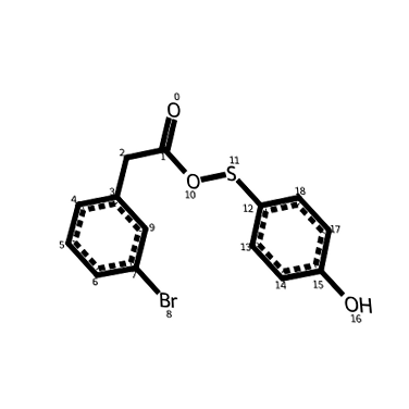 O=C(Cc1cccc(Br)c1)OSc1ccc(O)cc1